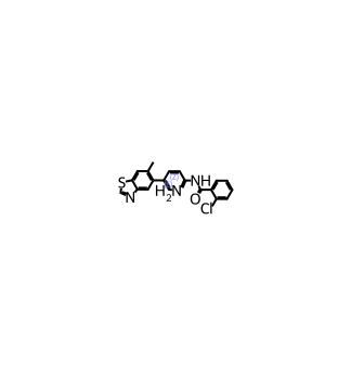 C=C(/C=C\C(=C/N)c1cc2ncsc2cc1C)NC(=O)c1ccccc1Cl